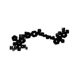 CC(=O)c1c(C)c2cnc(Nc3ccc(N4CCN(C(=O)COCCOCCSc5cccc6c5C(=O)N(C5CCC(=O)NC5=O)C6=O)CC4)cn3)nc2n(C2CCCC2)c1=O